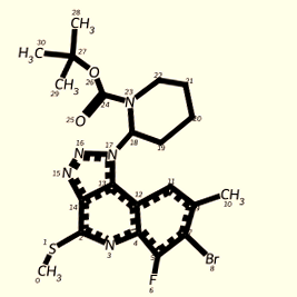 CSc1nc2c(F)c(Br)c(C)cc2c2c1nnn2C1CCCCN1C(=O)OC(C)(C)C